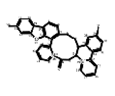 C=C1CC2C(CCc3ccc4c(oc5cc(C)ccc54)c3-c3cccc[n+]31)c1cc(C)ccc1-c1cccc[n+]12